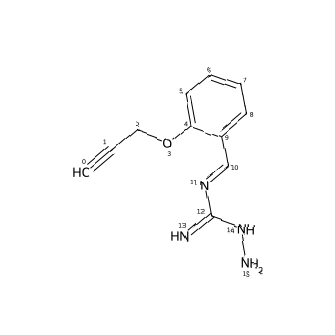 C#CCOc1ccccc1C=NC(=N)NN